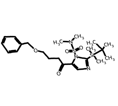 CN(C)S(=O)(=O)n1c(C(=O)CCCOCc2ccccc2)cnc1[Si](C)(C)C(C)(C)C